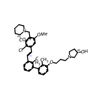 COc1cc(/C=C/c2cccc(-c3cccc(OCCCN4CC[C@@H](O)C4)c3C)c2C)c(Cl)cc1CN1CCCC[C@H]1C(=O)O